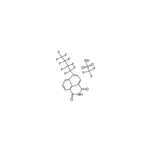 O=C1NC(=O)c2ccc(C(F)(F)C(F)(F)C(F)(F)C(F)(F)F)c3cccc1c23.O=S(=O)(O)C(F)(F)F